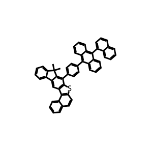 CC1(C)c2ccccc2-c2cc3c(sc4ccc5ccccc5c43)c(-c3ccc(-c4c5ccccc5c(-c5cccc6ccccc56)c5ccccc45)cc3)c21